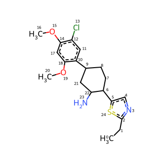 CCc1ncc(C2CCC(c3cc(Cl)c(OC)cc3OC)CC2N)s1